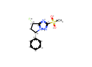 CS(=O)(=O)c1nc2n(n1)[C@H](c1ccccc1)C[C@@H]2F